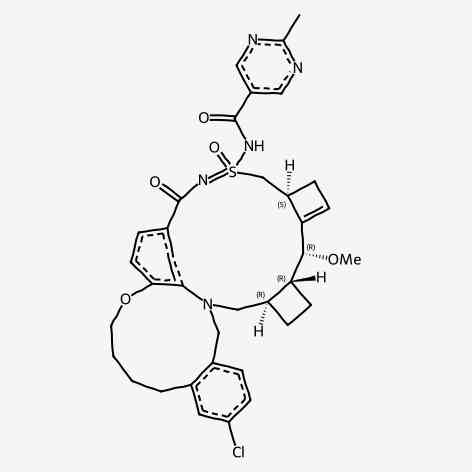 CO[C@H]1C2=CC[C@@H]2CS(=O)(NC(=O)c2cnc(C)nc2)=NC(=O)c2ccc3c(c2)N(Cc2ccc(Cl)cc2CCCCO3)C[C@@H]2CC[C@H]21